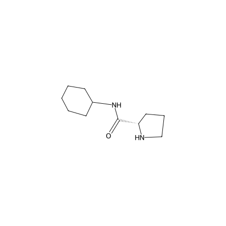 O=C(NC1CCCCC1)[C@@H]1CCCN1